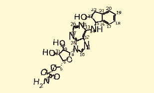 NS(=O)(=O)OC[C@H]1O[C@@H](n2cnc3c(N[C@@H]4c5ccccc5C[C@@H]4O)ncnc32)[C@H](O)[C@@H]1O